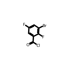 O=C(Cl)c1cc(F)cc(Br)c1F